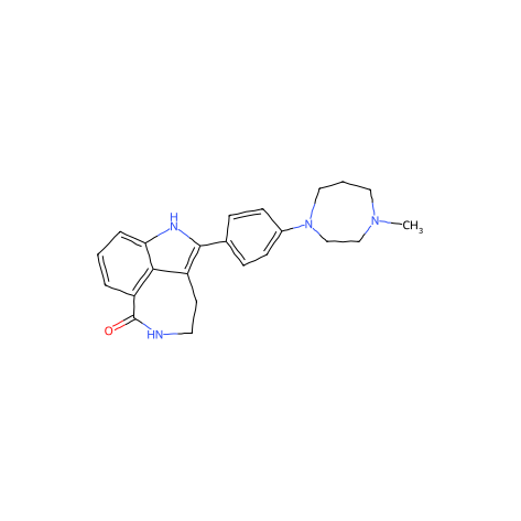 CN1CCCN(c2ccc(-c3[nH]c4cccc5c4c3CCNC5=O)cc2)CC1